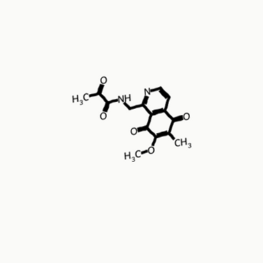 COC1=C(C)C(=O)c2ccnc(CNC(=O)C(C)=O)c2C1=O